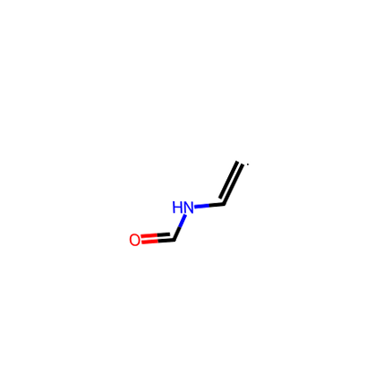 [CH]=CNC=O